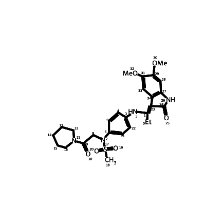 CCC(Nc1ccc(N(CC(=O)N2CCCCC2)S(C)(=O)=O)cc1)=C1C(=O)Nc2cc(OC)c(OC)cc21